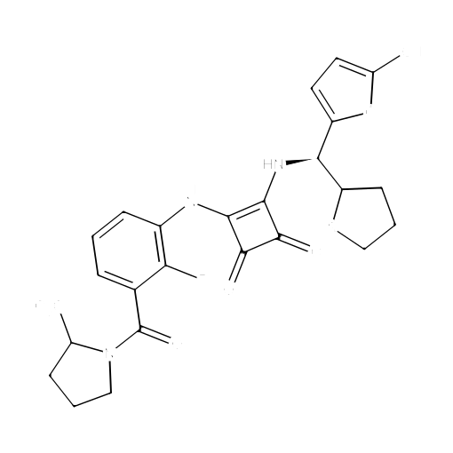 Cc1ccc([C@H](Nc2c(Nc3cccc(C(=O)N4CCCC4C(=O)O)c3F)c(=O)c2=O)C2CCCS2)o1